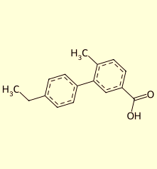 CCc1ccc(-c2cc(C(=O)O)ccc2C)cc1